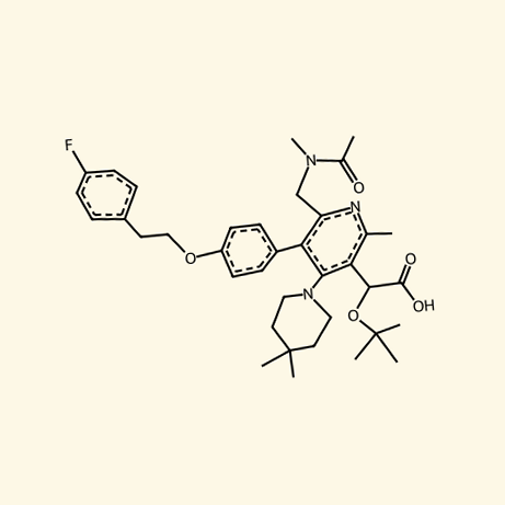 CC(=O)N(C)Cc1nc(C)c(C(OC(C)(C)C)C(=O)O)c(N2CCC(C)(C)CC2)c1-c1ccc(OCCc2ccc(F)cc2)cc1